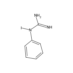 N=C(N)N(I)c1ccccc1